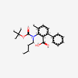 CCCCN(C(=O)OC(C)(C)C)c1c(C)ccc(-c2ccccc2)c1C(=O)O